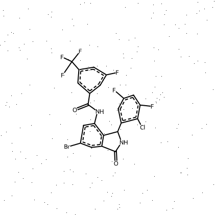 O=C(Nc1cc(Br)cc2c1C(c1cc(F)cc(F)c1Cl)NC2=O)c1cc(F)cc(C(F)(F)F)c1